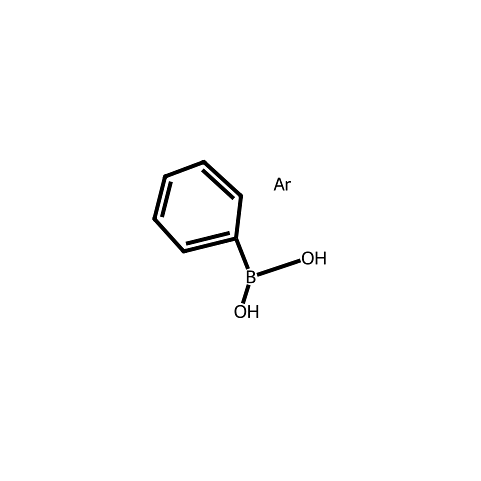 OB(O)c1ccccc1.[Ar]